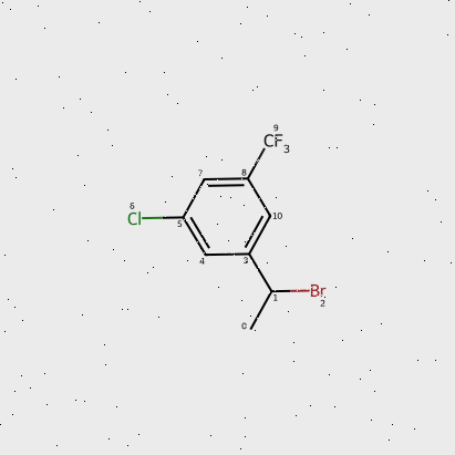 CC(Br)c1cc(Cl)cc(C(F)(F)F)c1